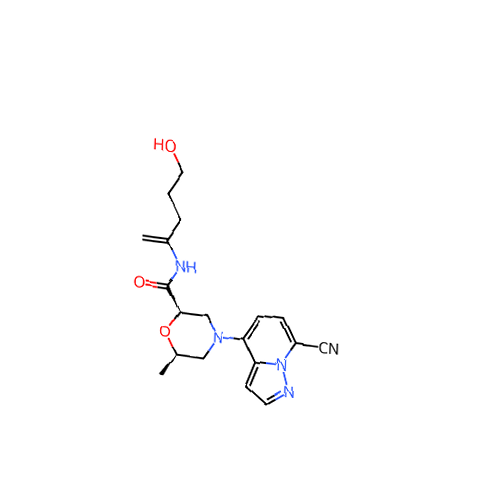 C=C(CCCO)NC(=O)[C@H]1CN(c2ccc(C#N)n3nccc23)C[C@@H](C)O1